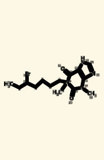 CCC(Br)CCCC[N+]1(C)C(=O)c2[nH]cnc2N(C)C1=O